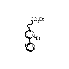 CCOC(=O)COC1=NN(CC)C(c2ncccn2)=CC1